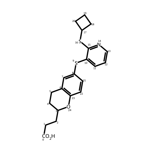 O=C(O)CCC1CCc2cc(Sc3cccnc3SC3CCC3)ccc2O1